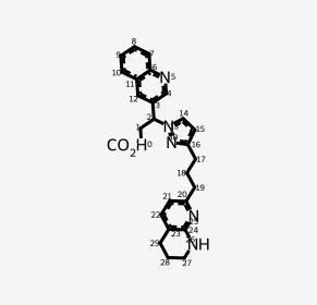 O=C(O)CC(c1cnc2ccccc2c1)n1ccc(CCCc2ccc3c(n2)NCCC3)n1